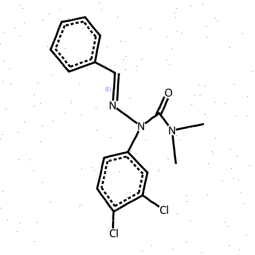 CN(C)C(=O)N(/N=C/c1ccccc1)c1ccc(Cl)c(Cl)c1